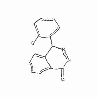 O=C1N=NC(c2ccccc2Cl)c2ccccc21